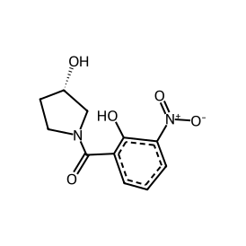 O=C(c1cccc([N+](=O)[O-])c1O)N1CC[C@H](O)C1